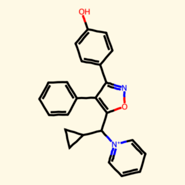 Oc1ccc(-c2noc(C(C3CC3)[n+]3ccccc3)c2-c2ccccc2)cc1